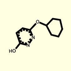 Oc1ccc(OC2CCCCC2)nn1